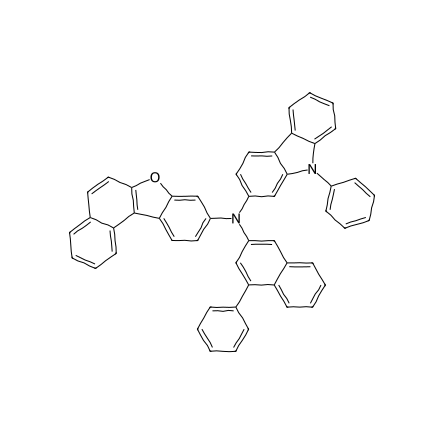 c1ccc(-c2cc(N(c3ccc4c(c3)oc3ccc5ccccc5c34)c3ccc4c5ccccc5n(-c5ccccc5)c4c3)cc3ccccc23)cc1